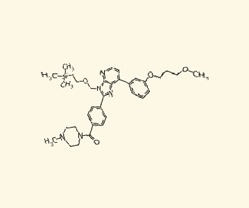 COCCCOc1cccc(-c2ccnc3c2nc(-c2ccc(C(=O)N4CCN(C)CC4)cc2)n3COCC[Si](C)(C)C)c1